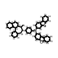 CC1c2ccc3ccccc3c2-c2ccccc2C[C@H]1c1ccc(N(c2ccc3c(c2)sc2ccccc23)c2ccc3oc4ccccc4c3c2)cc1